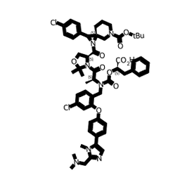 C[C@@H](C(=O)N1[C@H](C(=O)N2C(c3ccc(Cl)cc3)[C@@]23CCCN(C(=O)OC(C)(C)C)C3)COC1(C)C)N(Cc1ccc(Cl)cc1Oc1ccc(-c2cnc(CN(C)C)n2C)cc1)C(=O)O[C@@H](Cc1ccccc1)C(=O)O